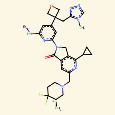 CCNc1cc(C2(Cc3nncn3C)COC2)cc(N2Cc3c(cc(CN4CCC(F)(F)[C@H](C)C4)nc3C3CC3)C2=O)n1